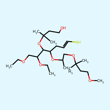 CCOCC(OCC)C(OC(C)(C)CCO)C(CC=CS)OC(C)COC(C)(C)CCOC